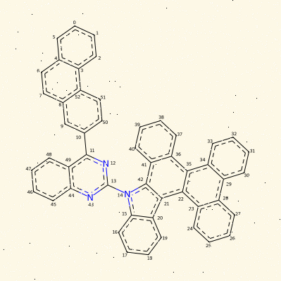 c1ccc2c(c1)ccc1cc(-c3nc(-n4c5ccccc5c5c6c7ccccc7c7ccccc7c6c6ccccc6c54)nc4ccccc34)ccc12